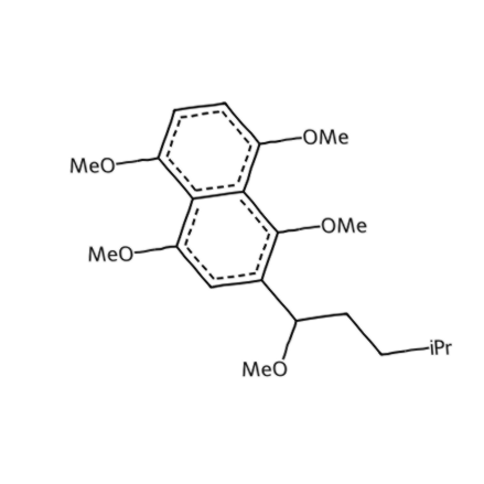 COc1ccc(OC)c2c(OC)c(C(CCC(C)C)OC)cc(OC)c12